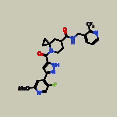 COc1cc(-c2cc(C(=O)N3CCC(C(=O)NCc4cccnc4C(F)(F)F)CC34CC4)[nH]n2)c(F)cn1